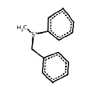 C[S+](Cc1ccccc1)c1ccccc1